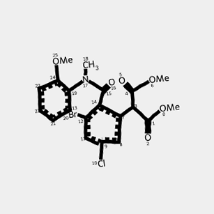 COC(=O)C(C(=O)OC)c1cc(Cl)cc(Br)c1C(=O)N(C)c1ccccc1OC